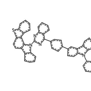 c1ccc(-n2c3ccccc3c3cc(-c4ccc(-c5nc(-n6c7ccccc7c7ccc8sc9ccccc9c8c76)nc6ccccc56)cc4)ccc32)cc1